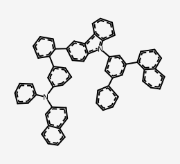 c1ccc(-c2cc(-c3cccc4ccccc34)cc(-n3c4ccccc4c4cc(-c5ccccc5-c5cccc(N(c6ccccc6)c6ccc7ccccc7c6)c5)ccc43)c2)cc1